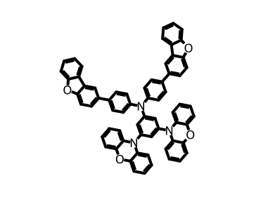 c1ccc2c(c1)Oc1ccccc1N2c1cc(N(c2ccc(-c3ccc4oc5ccccc5c4c3)cc2)c2ccc(-c3ccc4oc5ccccc5c4c3)cc2)cc(N2c3ccccc3Oc3ccccc32)c1